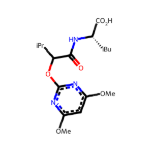 CCC(C)[C@H](NC(=O)C(Oc1nc(OC)cc(OC)n1)C(C)C)C(=O)O